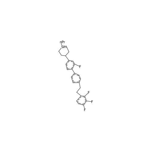 CCC[SiH]1CCC(c2ccc(-c3ccc(CCc4ccc(F)c(F)c4F)cc3)c(F)c2)CC1